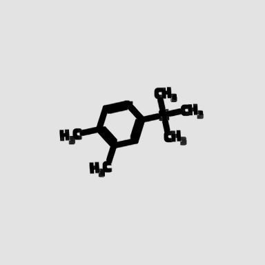 Cc1c[c]c([Si](C)(C)C)cc1C